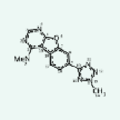 CNc1ncnc2oc3cc(-c4nnn(C)n4)ccc3c12